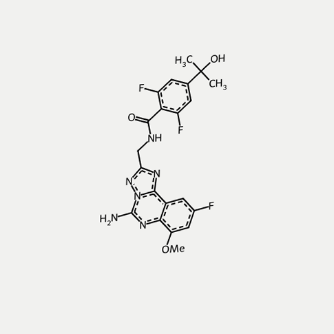 COc1cc(F)cc2c1nc(N)n1nc(CNC(=O)c3c(F)cc(C(C)(C)O)cc3F)nc21